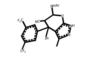 CC(=O)NC1Oc2[nH]nc(C)c2C(c2cc(C(F)(F)F)cc(C(F)(F)F)c2)(C(C)C)C1C#N